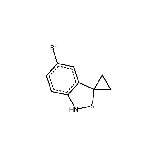 Brc1ccc2c(c1)C1(CC1)SN2